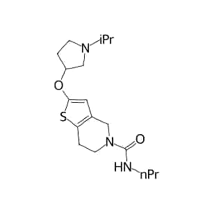 CCCNC(=O)N1CCc2sc(OC3CCN(C(C)C)C3)cc2C1